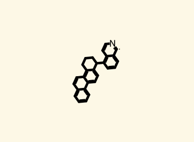 [c]1nccc2c(C3CCCc4c3ccc3c4ccc4ccccc43)cccc12